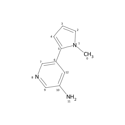 Cn1cccc1-c1cncc(N)c1